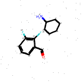 NC1CCCCC1.O=Cc1cccc(F)c1F